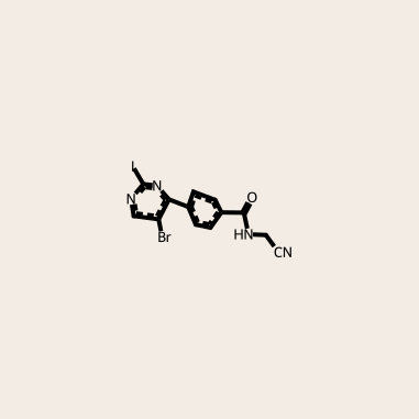 N#CCNC(=O)c1ccc(-c2nc(I)ncc2Br)cc1